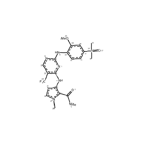 CNC(=O)c1c(Nc2nc(Nc3ccc(P(C)(C)=O)cc3OC)ncc2C(F)(F)F)ncn1C